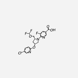 O=C(O)c1cnc(N2C[C@@H](Oc3ccc(Cl)cn3)C[C@H]2COC(F)F)c(F)c1